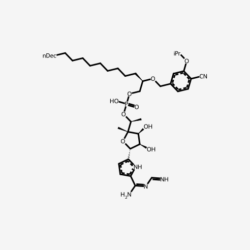 CCCCCCCCCCCCCCCCCCC[C@H](COP(=O)(O)O[C@@H](C)[C@@]1(C)O[C@@H](c2ccc(/C(N)=N\C=N)[nH]2)[C@H](O)[C@@H]1O)OCc1ccc(C#N)c(OC(C)C)c1